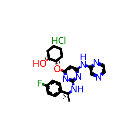 C[C@H](Nc1nc(Nc2cnccn2)cc(O[C@H]2CCCC[C@@H]2O)n1)c1ccc(F)cc1.Cl